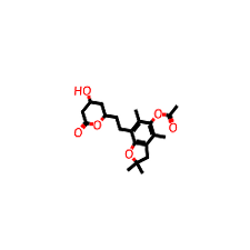 CC(=O)Oc1c(C)c(CCC2CC(O)CC(=O)O2)c2c(c1C)CC(C)(C)O2